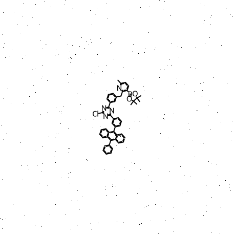 Cc1ccc(B2OC(C)(C)C(C)(C)O2)c(Cc2cccc(-c3nc(Cl)nc(-c4cccc(-c5c6ccccc6c(-c6ccccc6)c6ccccc56)c4)n3)c2)n1